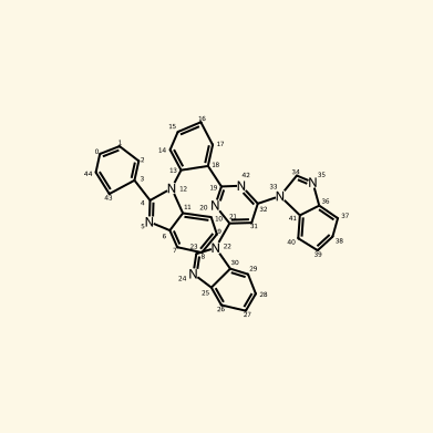 c1ccc(-c2nc3ccccc3n2-c2ccccc2-c2nc(-n3cnc4ccccc43)cc(-n3cnc4ccccc43)n2)cc1